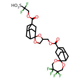 O=C(OCC1COC2(O1)C1CC3CC2CC(C(=O)OCC(F)(F)S(=O)(=O)O)(C3)C1)C12CC3CC(C1)C1(OCC(F)(F)C(F)(F)CO1)C(C3)C2